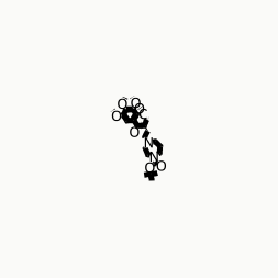 COc1cc(C(=O)[C@H](C=C=O)CCN2CCCN(C(=O)OC(C)(C)C)CC2)cc(OC)c1OC